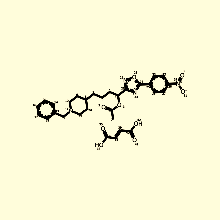 CC(=O)OC(CCCC1CCN(Cc2ccccc2)CC1)c1noc(-c2ccc([N+](=O)[O-])cc2)n1.O=C(O)C=CC(=O)O